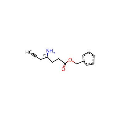 C#CC[C@@H](N)CCC(=O)OCc1ccccc1